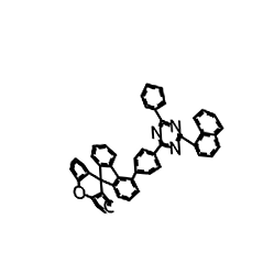 c1ccc(-c2nc(-c3ccc(-c4cccc5c4-c4ccccc4C54c5ccccc5Oc5ccccc54)cc3)nc(-c3cccc4ccccc34)n2)cc1